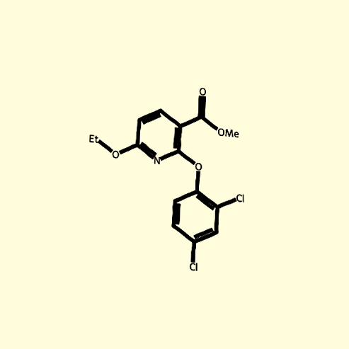 CCOc1ccc(C(=O)OC)c(Oc2ccc(Cl)cc2Cl)n1